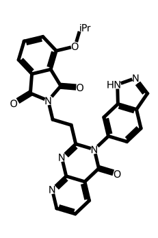 CC(C)Oc1cccc2c1C(=O)N(CCc1nc3ncccc3c(=O)n1-c1ccc3cn[nH]c3c1)C2=O